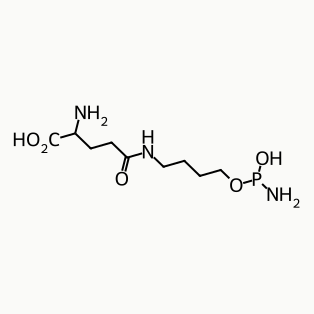 NC(CCC(=O)NCCCCOP(N)O)C(=O)O